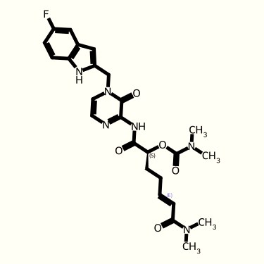 CN(C)C(=O)/C=C/CC[C@H](OC(=O)N(C)C)C(=O)Nc1nccn(Cc2cc3cc(F)ccc3[nH]2)c1=O